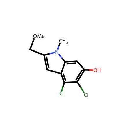 COCc1cc2c(Cl)c(Cl)c(O)cc2n1C